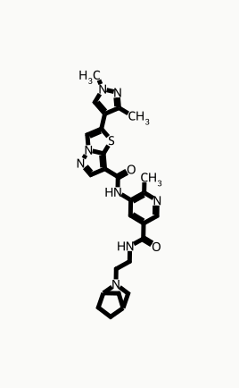 Cc1ncc(C(=O)NCCN2CC3CCC2C3)cc1NC(=O)c1cnn2cc(-c3cn(C)nc3C)sc12